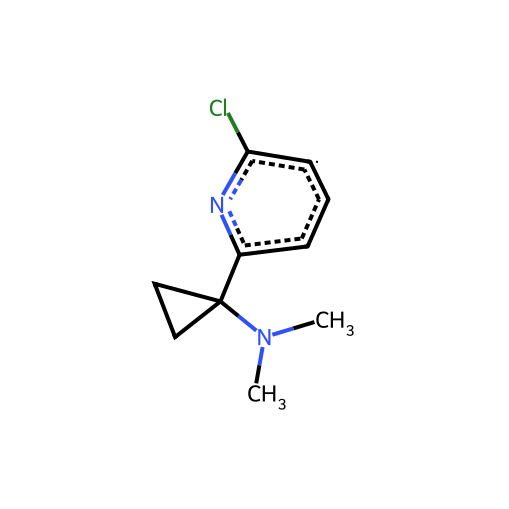 CN(C)C1(c2cc[c]c(Cl)n2)CC1